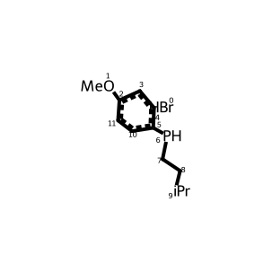 Br.COc1ccc(PCCC(C)C)cc1